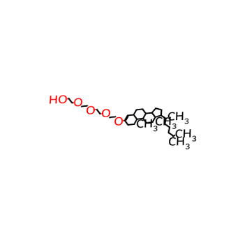 CC(C)CCCC(C)C1CCC2C3CCC4C=C(OCCOCCOCCOCCO)CCC4(C)C3CCC12C